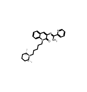 C[C@@H]1CCC[C@H](C)N1CCCCCn1c(=O)c(N=C(N)c2ccccn2)cc2ccccc21